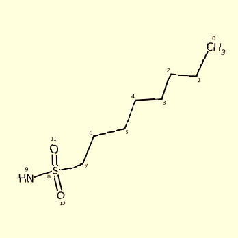 CCCCCCCCS([NH])(=O)=O